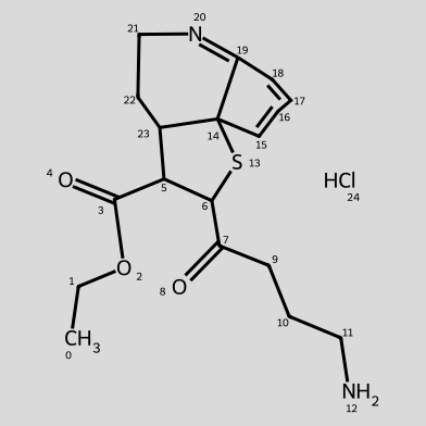 CCOC(=O)C1C(C(=O)CCCN)SC23C=CC=CC2=NCCC13.Cl